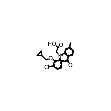 Cc1ccc2c(=O)c3ccc(Cl)c(OCC4CC4)c3n(CC(=O)O)c2c1